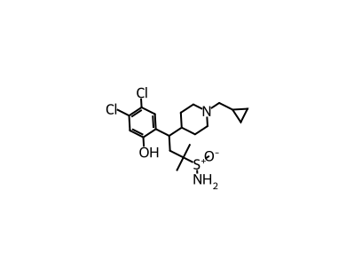 CC(C)(CC(c1cc(Cl)c(Cl)cc1O)C1CCN(CC2CC2)CC1)[S+](N)[O-]